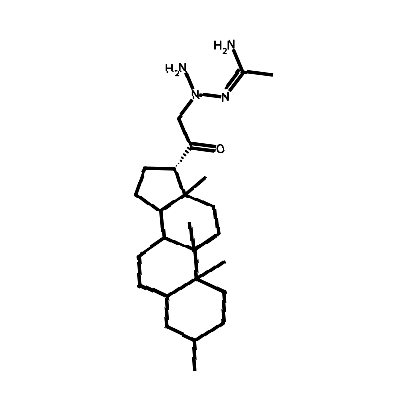 C/C(N)=N/N(N)CC(=O)[C@H]1CCC2C3CCC4CC(C)CCC4(C)C3(C)CCC21C